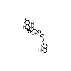 Cc1ccc2c(NC(CCO[C@H]3C[C@H](CCc4ccc5c(n4)NCCC5)C3)C(=O)O)ncnc2c1